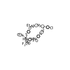 CCC(=O)N1CC2(CCN(CC3(C)CCC(c4ccc(Cl)cc4)=C(CN4CCN(c5ccc(C(=O)NSc6ccc(N[C@H](CCN7CCOCC7)CSc7ccccc7)c(S(=O)(=O)C(F)(F)F)c6)cc5)CC4)C3)CC2)C1